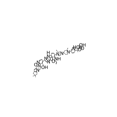 C=CC(=O)Nc1cc(Nc2nc(-c3ccnc(N4CCn5c(cc6c5CC(C)(C)C6)C4=O)c3CO)cn(C)c2=O)ccc1N1CCN(C2CCN(c3ccc(C(C)(C)OP(=O)(O)O)nc3)[C@H](C)C2)C[C@@H]1C